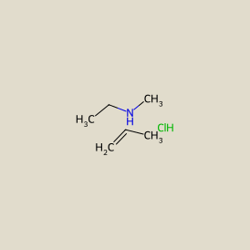 C=CC.CCNC.Cl